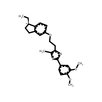 CC[C@@H]1CCc2cc(OCCc3nc(-c4ccc(OC)c(OC)c4)sc3C)ccc21